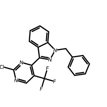 FC(F)(F)c1cnc(Cl)nc1-c1nn(Cc2ccccc2)c2ccccc12